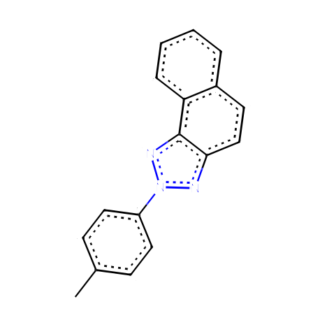 Cc1ccc(-n2nc3ccc4ccccc4c3n2)cc1